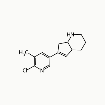 Cc1cc(C2=CC3CCCNC3C2)cnc1Cl